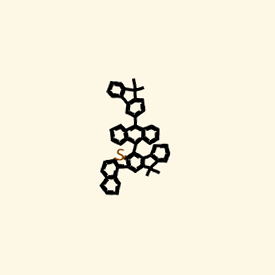 CC1(C)c2ccccc2-c2cc(-c3c4ccccc4c(-c4c5c(cc6c4sc4ccc7ccccc7c46)C(C)(C)c4ccccc4-5)c4ccccc34)ccc21